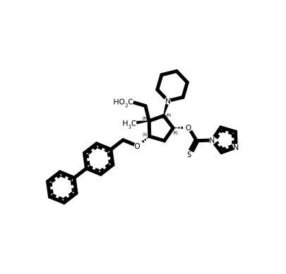 C[C@]1(CC(=O)O)[C@@H](OCc2ccc(-c3ccccc3)cc2)C[C@@H](OC(=S)n2ccnc2)[C@@H]1N1CCCCC1